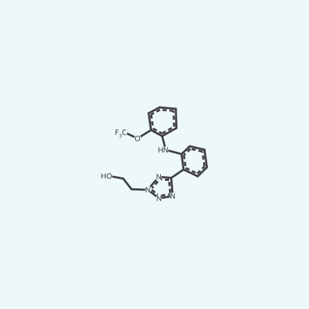 OCCn1nnc(-c2ccccc2Nc2ccccc2OC(F)(F)F)n1